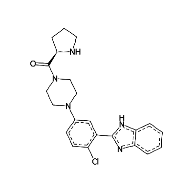 O=C([C@H]1CCCN1)N1CCN(c2ccc(Cl)c(-c3nc4ccccc4[nH]3)c2)CC1